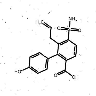 C=CCc1c(S(N)(=O)=O)ccc(C(=O)O)c1-c1ccc(O)cc1